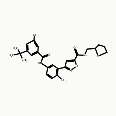 Cc1ccc(NC(=O)c2cc(N)cc(C(C)(C)C)c2)cc1-c1cc(C(=O)NCC2CCCO2)on1